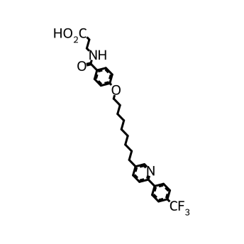 O=C(O)CCNC(=O)c1ccc(OCCCCCCCCCc2ccc(-c3ccc(C(F)(F)F)cc3)nc2)cc1